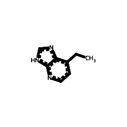 CCc1ccnc2[nH]cnc12